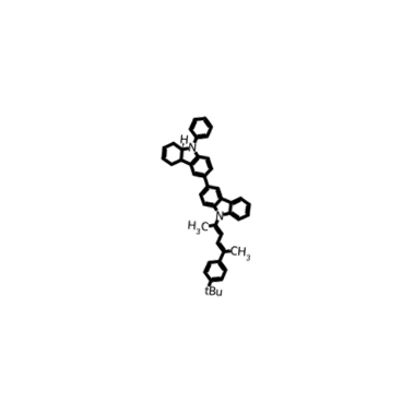 C/C(=C\C=C(/C)n1c2ccccc2c2cc(-c3ccc4c(c3)C3CC=CC[C@H]3N4c3ccccc3)ccc21)c1ccc(C(C)(C)C)cc1